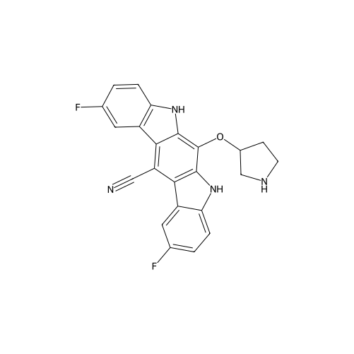 N#Cc1c2c([nH]c3ccc(F)cc32)c(OC2CCNC2)c2[nH]c3ccc(F)cc3c12